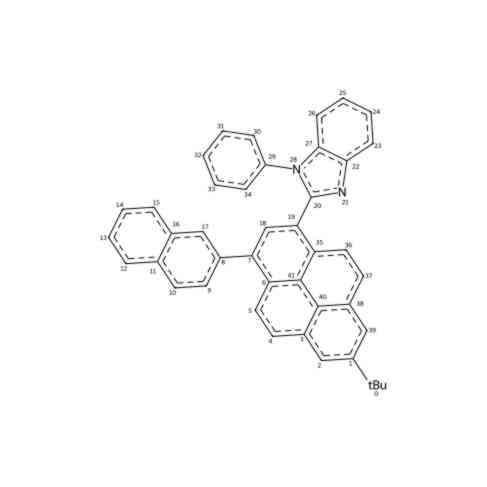 CC(C)(C)c1cc2ccc3c(-c4ccc5ccccc5c4)cc(-c4nc5ccccc5n4-c4ccccc4)c4ccc(c1)c2c34